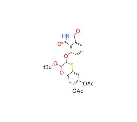 CC(=O)Oc1ccc(SC(Oc2cccc3c2C(=O)NC3=O)C(=O)OC(C)(C)C)cc1OC(C)=O